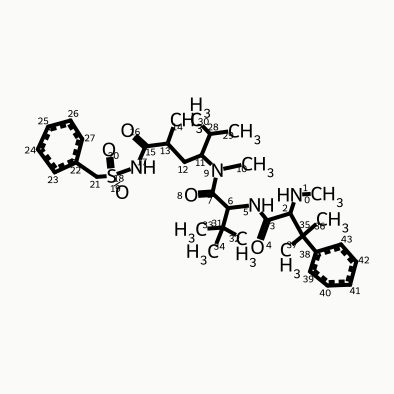 CNC(C(=O)NC(C(=O)N(C)C(CC(C)C(=O)NS(=O)(=O)Cc1ccccc1)C(C)C)C(C)(C)C)C(C)(C)c1ccccc1